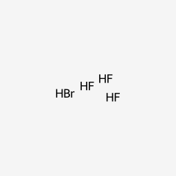 Br.F.F.F